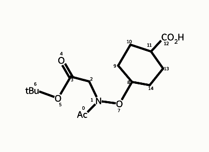 CC(=O)N(CC(=O)OC(C)(C)C)OC1CCC(C(=O)O)CC1